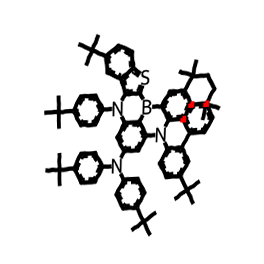 CC(C)(C)c1ccc(N(c2ccc(C(C)(C)C)cc2)c2cc3c4c(c2)N(c2ccc(C(C)(C)C)cc2)c2c(sc5ccc(C(C)(C)C)cc25)B4c2cc4c(cc2N3c2ccc(C(C)(C)C)cc2-c2ccccc2)C(C)(C)CCC4(C)C)cc1